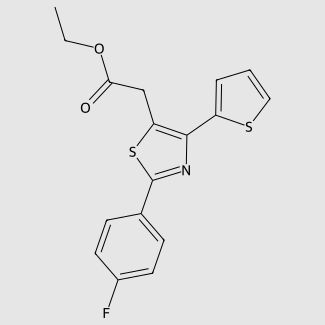 CCOC(=O)Cc1sc(-c2ccc(F)cc2)nc1-c1cccs1